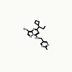 CCC(c1cc(NCc2cnc(C)nc2)n2ncc(Br)c2n1)C1CCC1